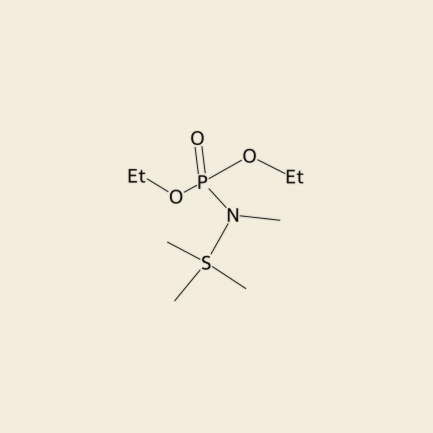 CCOP(=O)(OCC)N(C)S(C)(C)C